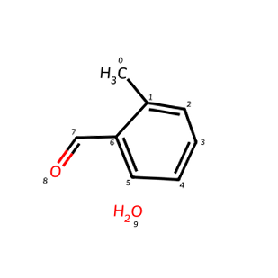 Cc1ccccc1C=O.O